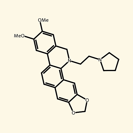 COc1cc2c(cc1OC)-c1ccc3cc4c(cc3c1N(CCN1CCCC1)C2)OCO4